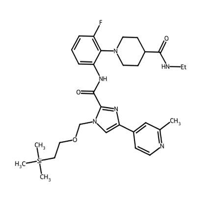 CCNC(=O)C1CCN(c2c(F)cccc2NC(=O)c2nc(-c3ccnc(C)c3)cn2COCC[Si](C)(C)C)CC1